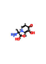 CC(N)(C(=O)O)n1ccc(=O)c(O)c1